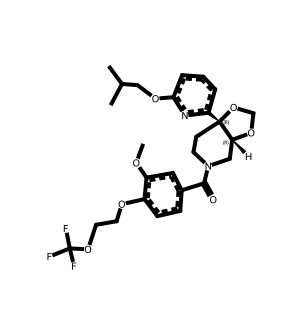 COc1cc(C(=O)N2CC[C@]3(c4cccc(OCC(C)C)n4)OCO[C@@H]3C2)ccc1OCCOC(F)(F)F